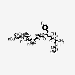 CCCCN(C)CC(=O)N[C@H](C(=O)N(CCC)[C@H](C[C@@H](OCCC)c1nc(C(=O)N[C@@H](Cc2ccc(F)cc2)C[C@H](C)C(=O)OC(C)CNC(=O)OC(C)(C)C)cs1)C(C)C)[C@@H](C)CC